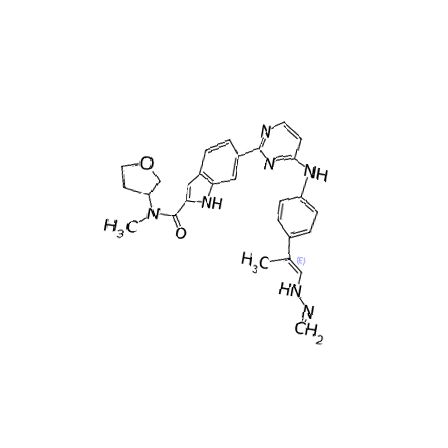 C=NN/C=C(\C)c1ccc(Nc2ccnc(-c3ccc4cc(C(=O)N(C)C5CCOC5)[nH]c4c3)n2)cc1